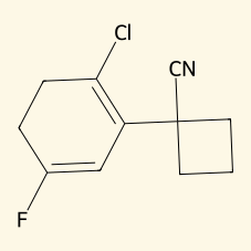 N#CC1(C2=C(Cl)CCC(F)=C2)CCC1